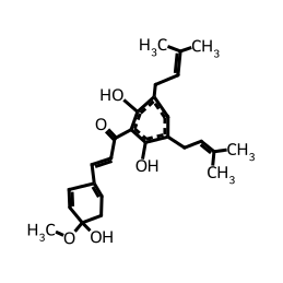 COC1(O)C=CC(C=CC(=O)c2c(O)c(CC=C(C)C)cc(CC=C(C)C)c2O)=CC1